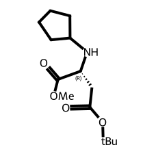 COC(=O)[C@@H](CC(=O)OC(C)(C)C)NC1CCCC1